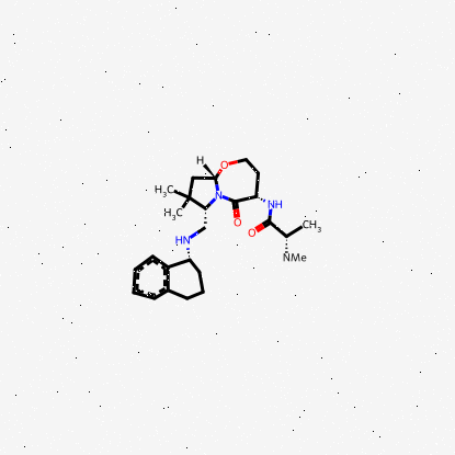 CN[C@@H](C)C(=O)N[C@H]1CCO[C@H]2CC(C)(C)[C@@H](CN[C@@H]3CCCc4ccccc43)N2C1=O